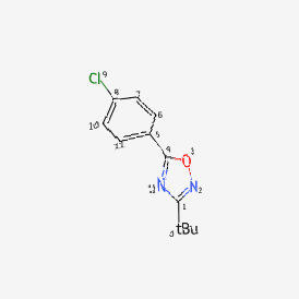 CC(C)(C)c1noc(-c2ccc(Cl)cc2)n1